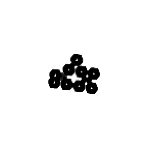 c1ccc(-c2ccc(N(c3cccc(-c4cccc(-c5c(-c6ccccc6)c6ccccc6c6ccccc56)c4)c3)c3cccc4ccccc34)cc2)cc1